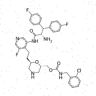 N[C@H](C(=O)Nc1cncc(F)c1CC[C@@H]1CNC[C@@H](COC(=O)NCc2ccccc2Cl)O1)C(c1ccc(F)cc1)c1ccc(F)cc1